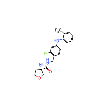 NC1(C(=O)NCc2ccc(Nc3ccccc3C(F)(F)F)cc2F)CCOC1